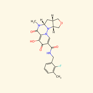 Cc1cccc(CNC(=O)c2cn3c(c(O)c2=O)C(=O)N(C)[C@@H]2C[C@@H]4COC[C@@H]4N23)c1F